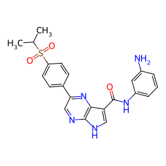 CC(C)S(=O)(=O)c1ccc(-c2cnc3[nH]cc(C(=O)Nc4cccc(N)c4)c3n2)cc1